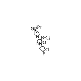 CC(C)[S+]([O-])N1CCN(c2cnn(-c3ccc(F)c(Cl)c3)c(=O)c2OC2CCCC2)CC1